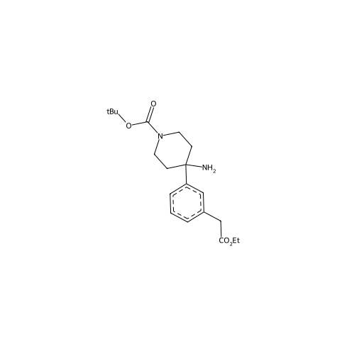 CCOC(=O)Cc1cccc(C2(N)CCN(C(=O)OC(C)(C)C)CC2)c1